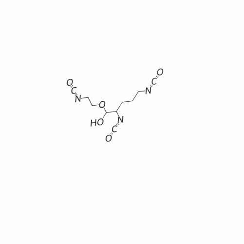 O=C=NCCCC(N=C=O)C(O)OCCN=C=O